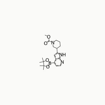 COC(=O)N1CCCC(c2cc3c(B4OC(C)(C)C(C)(C)O4)ccnc3[nH]2)C1